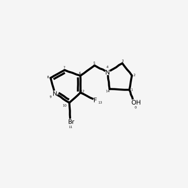 OC1CCN(Cc2ccnc(Br)c2F)C1